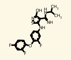 CC(C)NC(=N)c1c(O)nsc1Nc1ccc(Oc2ccc(F)cc2F)c(F)c1